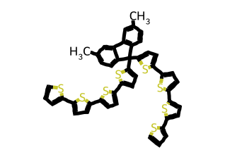 Cc1ccc2c(c1)-c1cc(C)ccc1C2(c1ccc(-c2ccc(-c3ccc(-c4cccs4)s3)s2)s1)c1ccc(-c2ccc(-c3ccc(-c4cccs4)s3)s2)s1